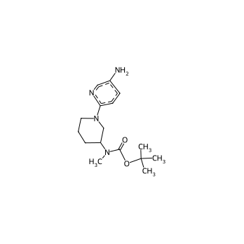 CN(C(=O)OC(C)(C)C)C1CCCN(c2ccc(N)cn2)C1